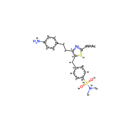 CC(=O)Nc1nc(CCc2ccc(N)cc2)c(Cc2ccc(S(=O)(=O)N(C)C)cc2)s1